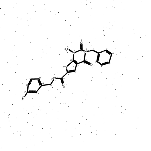 Cn1c(=O)n(Cc2ccccc2)c(=O)c2cc(C(=O)NCc3cccc(Cl)c3)sc21